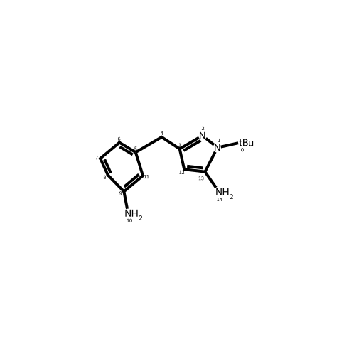 CC(C)(C)n1nc(Cc2cccc(N)c2)cc1N